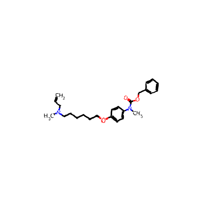 C=CCN(C)CCCCCCOc1ccc(N(C)C(=O)OCc2ccccc2)cc1